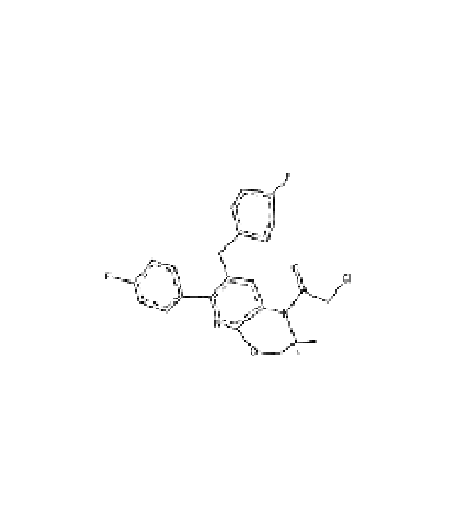 C[C@H]1COc2nc(-c3ccc(F)cc3)c(Cc3ccc(F)cc3)cc2N1C(=O)CCl